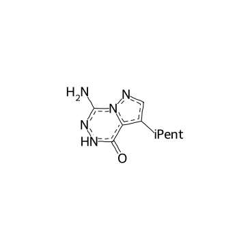 CCCC(C)c1cnn2c(N)n[nH]c(=O)c12